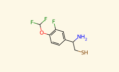 NC(CS)c1ccc(OC(F)F)c(F)c1